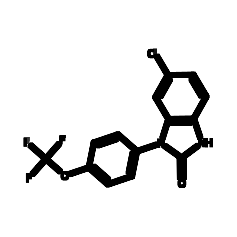 O=c1[nH]c2ccc(Cl)cc2n1-c1ccc(OC(F)(F)F)cc1